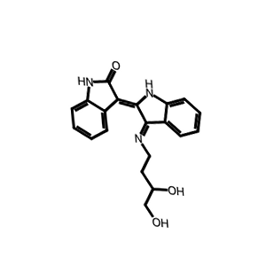 O=C1Nc2ccccc2/C1=C1/Nc2ccccc2/C1=N\CCC(O)CO